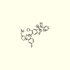 CN(C)C[C@@H]1CCN(c2cc(F)ccc2Nc2cc(F)c(S(=O)(=O)Nc3cscn3)cc2Cl)C1